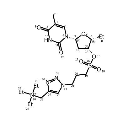 CC[C@H]1O[C@@H](n2cc(C)c(=O)[nH]c2=O)C[C@H]1OS(=O)(=O)CCCn1cc(C[N+](CC)(CC)CC)nn1